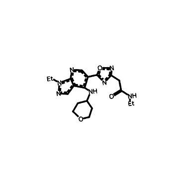 CCNC(=O)Cc1noc(-c2cnc3c(cnn3CC)c2NC2CCOCC2)n1